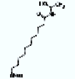 CCCCCCCCCCCCCCCCCCCC(=O)NC(C)O